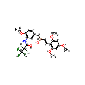 COc1cc(OC)c(C=C[S+]([O-])Cc2ccc(OC)c(NC(=O)C(F)(F)C(F)(F)F)c2)c(OC)c1